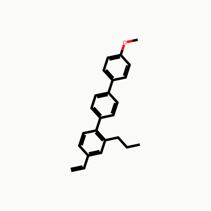 C=Cc1ccc(-c2ccc(-c3ccc(OC)cc3)cc2)c(CCC)c1